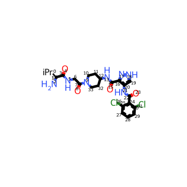 CC(C)[C@H](N)C(=O)NCC(=O)N1CCC(NC(=O)c2n[nH]cc2NC(=O)c2c(Cl)cccc2Cl)CC1